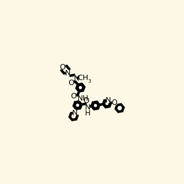 CN(CCN1CCOCC1)C(=O)c1cccc(C(=O)Nc2ccc(N3CCCCC3)cc2C(=O)Nc2ccc(-c3ccc(OC4CCCCC4)nc3)cc2)c1